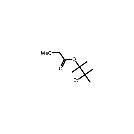 CCC(C)(C)C(C)(C)OC(=O)COC